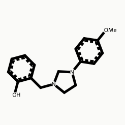 COc1ccc(N2CCN(Cc3ccccc3O)C2)cc1